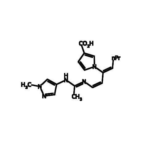 CCC/C=C(/C=C\N=C(/C)Nc1cnn(C)c1)n1ccc(C(=O)O)c1